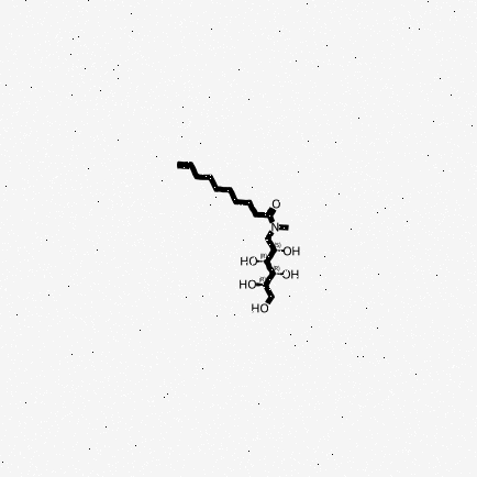 C=CCCCCCCCC(=O)N(C)C[C@H](O)[C@@H](O)[C@H](O)[C@H](O)CO